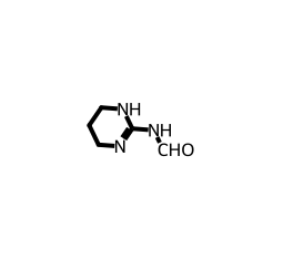 O=CNC1=NCCCN1